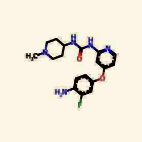 CN1CCC(NC(=O)Nc2cc(Oc3ccc(N)c(F)c3)ccn2)CC1